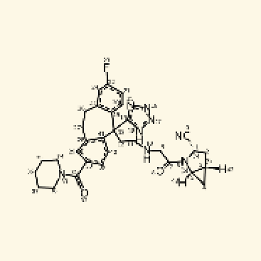 N#C[C@@H]1C[C@@H]2C[C@@H]2N1C(=O)CNCCC1(c2nnn[nH]2)c2ccc(F)cc2CCc2cc(C(=O)N3CCCCC3)ccc21